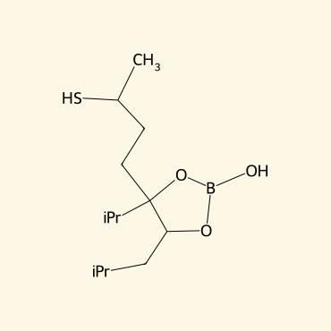 CC(C)CC1OB(O)OC1(CCC(C)S)C(C)C